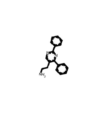 NCCc1cnc(-c2ccccc2)nc1-c1ccccc1